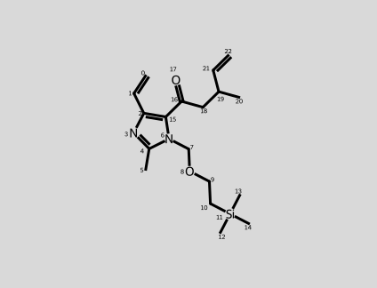 C=Cc1nc(C)n(COCC[Si](C)(C)C)c1C(=O)CC(C)C=C